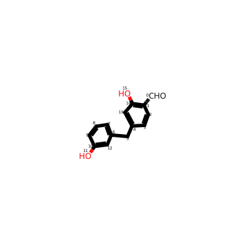 O=Cc1ccc(Cc2cccc(O)c2)cc1O